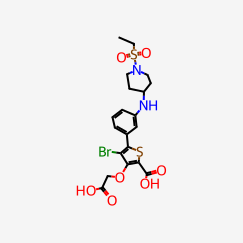 CCS(=O)(=O)N1CCC(Nc2cccc(-c3sc(C(=O)O)c(OCC(=O)O)c3Br)c2)CC1